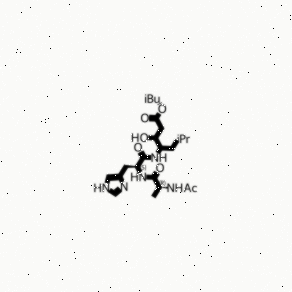 CCC(C)OC(=O)CC(O)C(CC(C)C)NC(=O)[C@H](Cc1c[nH]cn1)NC(=O)[C@@H](C)NC(C)=O